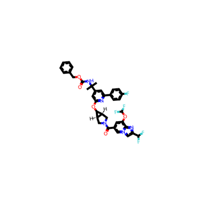 CC(C)(NC(=O)OCc1ccccc1)c1cc(OC2[C@H]3CN(C(=O)c4cc(OC(F)F)c5nc(C(F)F)cn5c4)C[C@@H]23)nc(-c2ccc(F)cc2)c1